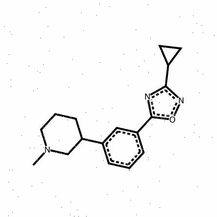 CN1CCCC(c2c[c]cc(-c3nc(C4CC4)no3)c2)C1